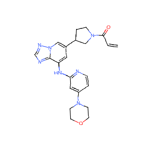 C=CC(=O)N1CCC(c2cc(Nc3cc(N4CCOCC4)ccn3)c3ncnn3c2)C1